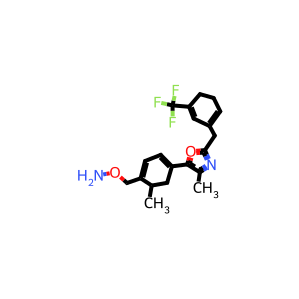 Cc1nc(CC2=CCCC(C(F)(F)F)=C2)oc1C1=CC=C(CON)C(C)C1